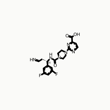 N=CC[C@H](NC(=O)N1CCN(c2nccc(C(=O)O)n2)CC1)c1cc(F)cc(F)c1